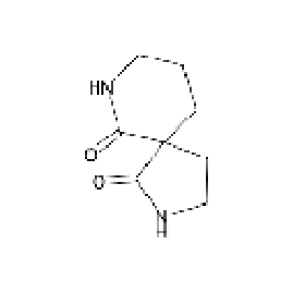 O=C1NCCCC12CCNC2=O